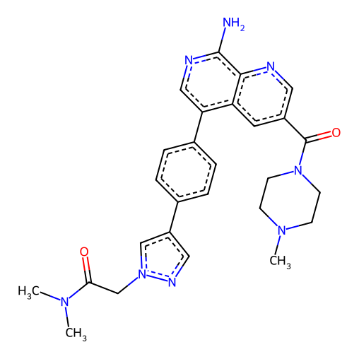 CN1CCN(C(=O)c2cnc3c(N)ncc(-c4ccc(-c5cnn(CC(=O)N(C)C)c5)cc4)c3c2)CC1